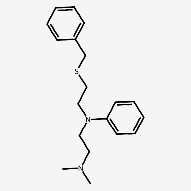 CN(C)CCN(CCSCc1ccccc1)c1ccccc1